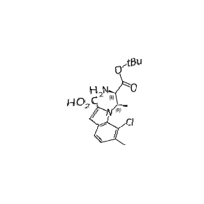 Cc1ccc2cc(C(=O)O)n([C@H](C)[C@@H](N)C(=O)OC(C)(C)C)c2c1Cl